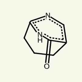 O=c1[nH]c2ncc1CCC2